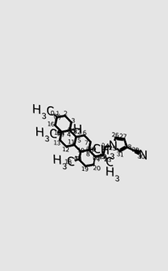 C[C@H]1CC[C@@H]2C3CC[C@@]4(C)C(C3CC[C@]2(C)C1)[C@H](C)CC[C@@H]4[C@H](C)Cn1ccc(C#N)c1